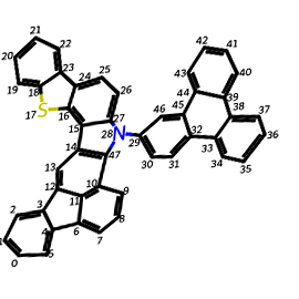 c1ccc2c(c1)-c1cccc3c1c-2cc1c2c4sc5ccccc5c4ccc2n(-c2ccc4c5ccccc5c5ccccc5c4c2)c31